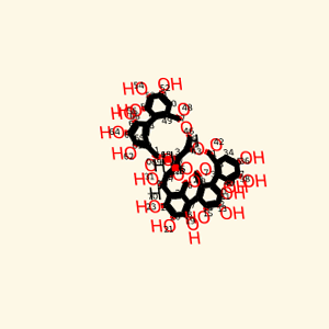 O=C1O[C@H]2[C@@H]3OC(=O)c4c(c(O)c(O)c(O)c4-c4c(O)c(O)c(O)c5c4C(=O)O[C@H]3[C@@H]5O)-c3c(cc(O)c(O)c3O)C(=O)O[C@@H]2COC(=O)c2cc(O)c(O)c(O)c2-c2cc1c(O)c(O)c2O